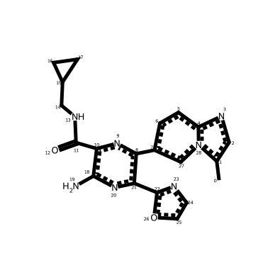 Cc1cnc2ccc(-c3nc(C(=O)NCC4CC4)c(N)nc3-c3ncco3)cn12